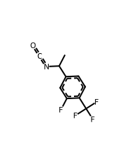 CC(N=C=O)c1ccc(C(F)(F)F)c(F)c1